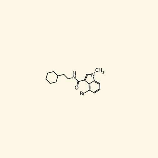 Cn1cc(C(=O)NCCC2CCCCC2)c2c(Br)cccc21